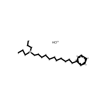 CCCN(CCC)CCCCCCCCCCCc1ccccc1.Cl